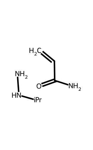 C=CC(N)=O.CC(C)NN